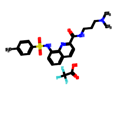 CN(C)CCCNC(=O)c1ccc2cccc(NS(=O)(=O)c3ccc(C(F)(F)F)cc3)c2n1.O=C(O)C(F)(F)F